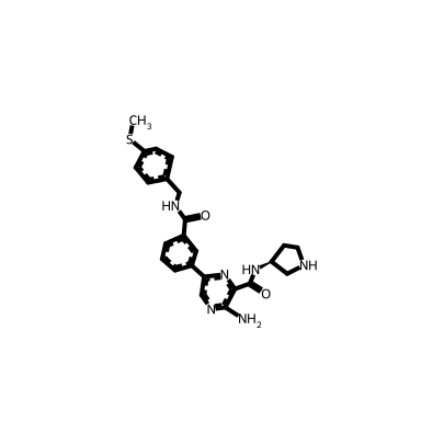 CSc1ccc(CNC(=O)c2cccc(-c3cnc(N)c(C(=O)N[C@H]4CCNC4)n3)c2)cc1